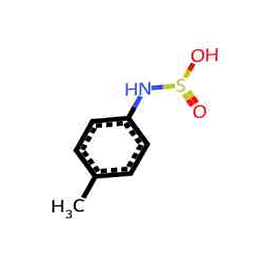 Cc1ccc(NS(=O)O)cc1